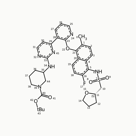 Cc1ccc2c(NS(=O)(=O)C[C@@H]3CCCO3)c(F)ccc2c1Oc1ncccc1-c1ccnc(NC2CCCN(C(=O)OC(C)(C)C)C2)n1